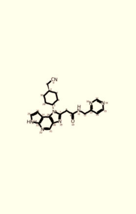 N#CC[C@H]1CC[C@H](n2c(CC(=O)NCc3ccncn3)nc3cnc4[nH]ccc4c32)CC1